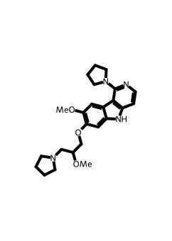 COc1cc2c(cc1OCC(CN1CCCC1)OC)[nH]c1ccnc(N3CCCC3)c12